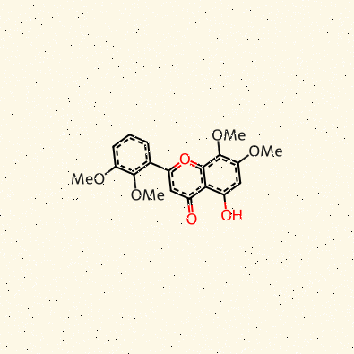 COc1cccc(-c2cc(=O)c3c(O)cc(OC)c(OC)c3o2)c1OC